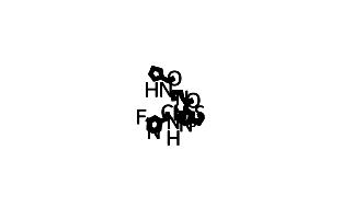 CC(Nc1nc(C(=O)N2CC(NC(=O)C3CCCC3)C2)c2sccc2n1)c1cncc(F)c1